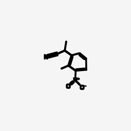 Cc1c(C(C)C#N)cccc1[N+](=O)[O-]